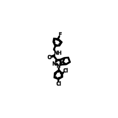 O=C(NCc1ccc(F)cc1)c1nn(-c2ccc(Cl)cc2Cl)c2c1C1CCC2C1